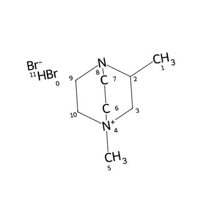 Br.CC1C[N+]2(C)CCN1CC2.[Br-]